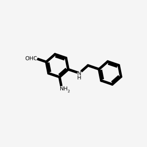 Nc1cc(C=O)ccc1NCc1ccccc1